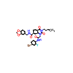 C=CCCn1c(=O)c2ccc(C(=O)NCc3ccc4c(c3)OCO4)cc2n(CC(=O)Nc2ccc(Br)cc2F)c1=O